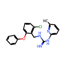 N#Cc1cccc(NC(=N)NCc2c(Cl)cccc2Oc2ccccc2)n1